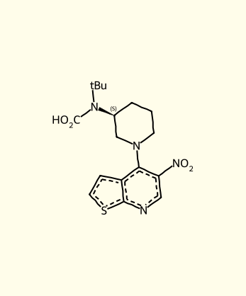 CC(C)(C)N(C(=O)O)[C@H]1CCCN(c2c([N+](=O)[O-])cnc3sccc23)C1